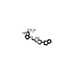 O=C(O)c1cc2c(OC[C@@H](O)CN3CCC(c4ccc5ccccc5c4)CC3)cccc2[nH]1